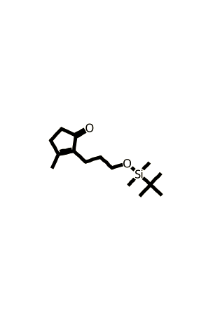 CC1=C(CCCO[Si](C)(C)C(C)(C)C)C(=O)CC1